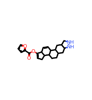 O=C(OC1=CCC2C1C=CC1C3CC4CNNC4CC3CCC12)c1ccco1